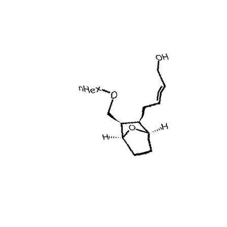 CCCCCCOC[C@H]1[C@@H](C/C=C\CO)[C@H]2CC[C@@H]1O2